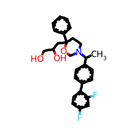 CC(c1ccc(-c2ccc(F)cc2F)cc1)N1CCC(CC(O)CO)(c2ccccc2)OC1